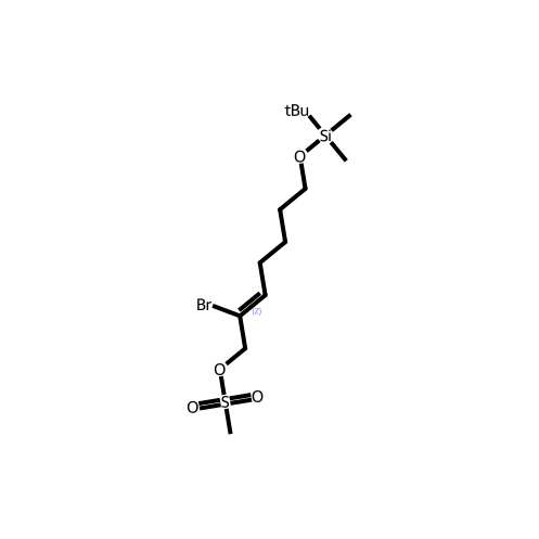 CC(C)(C)[Si](C)(C)OCCCC/C=C(\Br)COS(C)(=O)=O